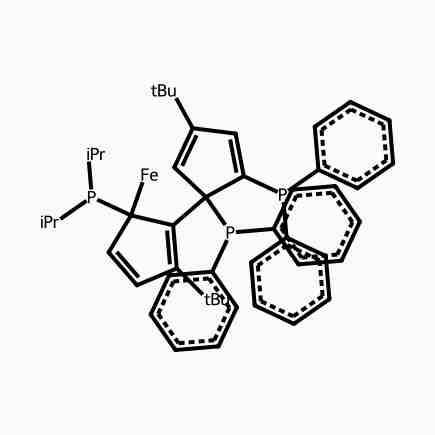 CC(C)P(C(C)C)[C]1([Fe])C=CC(C(C)(C)C)=C1C1(P(c2ccccc2)c2ccccc2)C=C(C(C)(C)C)C=C1P(c1ccccc1)c1ccccc1